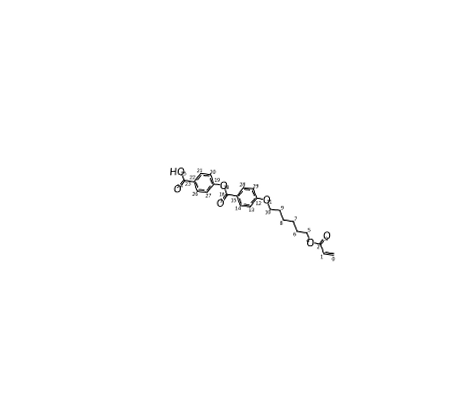 C=CC(=O)OCCCCCCOc1ccc(C(=O)Oc2ccc(C(=O)O)cc2)cc1